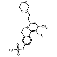 C=C1C=C(OC[C@@H]2COCCO2)N2CCc3cc(OS(=O)(=O)C(F)(F)F)ccc3C2=C1C